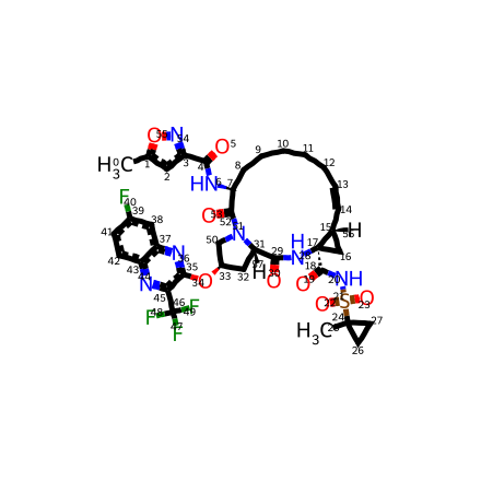 Cc1cc(C(=O)N[C@H]2CCCCC/C=C\[C@@H]3C[C@@]3(C(=O)NS(=O)(=O)C3(C)CC3)NC(=O)[C@@H]3C[C@@H](Oc4nc5cc(F)ccc5nc4C(F)(F)F)CN3C2=O)no1